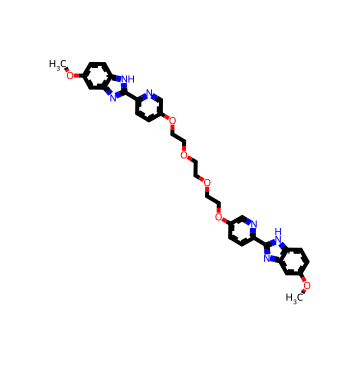 COc1ccc2[nH]c(-c3ccc(OCCOCCOCCOc4ccc(-c5nc6cc(OC)ccc6[nH]5)nc4)cn3)nc2c1